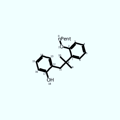 CCCCCOc1ccccc1C(C)(C)Cc1ccccc1O